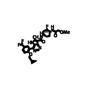 COCC(=O)N[C@@H]1CC[C@H](NC(=O)c2c(C)[nH]c3c(-c4cc(C(F)F)ccc4OCC4CC4)ncnc23)C[C@H]1F